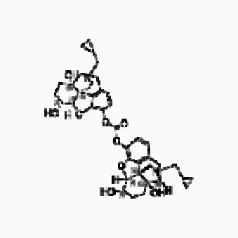 O=C(Oc1ccc2c3c1O[C@H]1[C@H](O)CC[C@@]4(O)C(C2)N(CC2CC2)CC[C@]314)Oc1ccc2c3c1O[C@H]1[C@H](O)CC[C@@]4(O)[C@@H](C2)N(CC2CC2)CC[C@]314